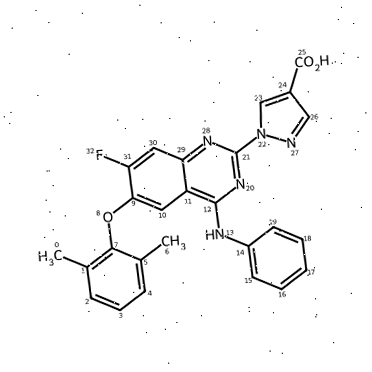 Cc1cccc(C)c1Oc1cc2c(Nc3ccccc3)nc(-n3cc(C(=O)O)cn3)nc2cc1F